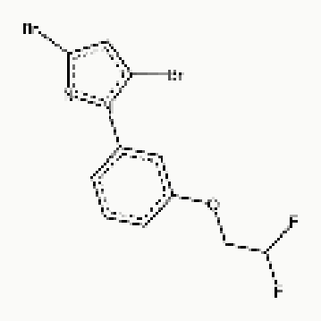 FC(F)COc1cccc(-n2nc(Br)cc2Br)c1